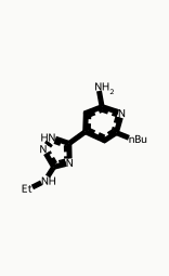 CCCCc1cc(-c2nc(NCC)n[nH]2)cc(N)n1